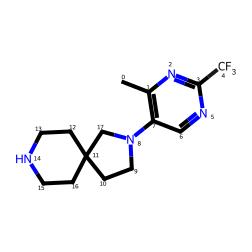 Cc1nc(C(F)(F)F)ncc1N1CCC2(CCNCC2)C1